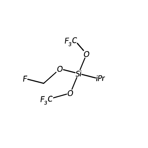 CC(C)[Si](OCF)(OC(F)(F)F)OC(F)(F)F